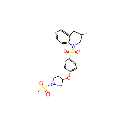 CC1Cc2ccccc2N(S(=O)(=O)c2ccc(OC3CCN(S(C)(=O)=O)CC3)cc2)C1